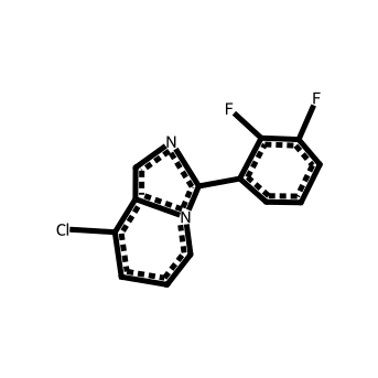 Fc1cccc(-c2ncc3c(Cl)cccn23)c1F